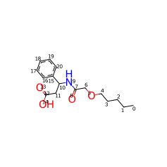 CCCCCOCC(=O)NC(CC(=O)O)c1ccccc1